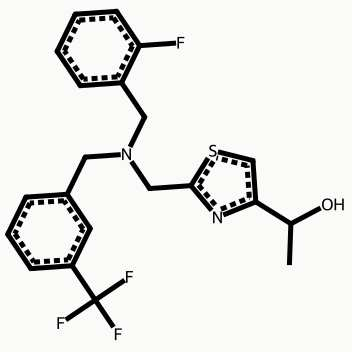 CC(O)c1csc(CN(Cc2cccc(C(F)(F)F)c2)Cc2ccccc2F)n1